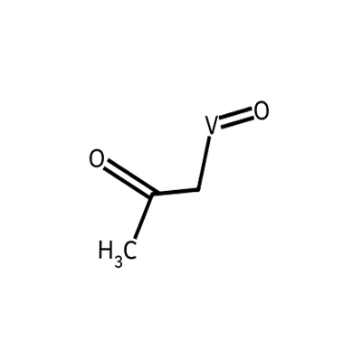 CC(=O)[CH2][V]=[O]